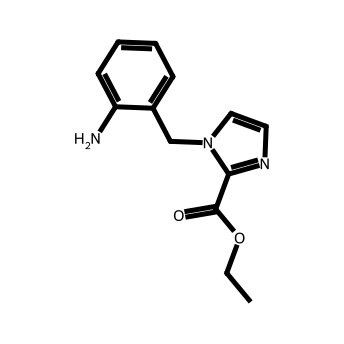 CCOC(=O)c1nccn1Cc1ccccc1N